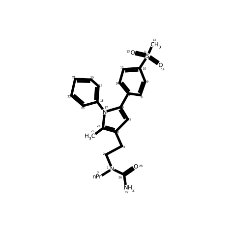 CCCN(CCc1cc(-c2ccc(S(C)(=O)=O)cc2)n(-c2ccccc2)c1C)C(N)=O